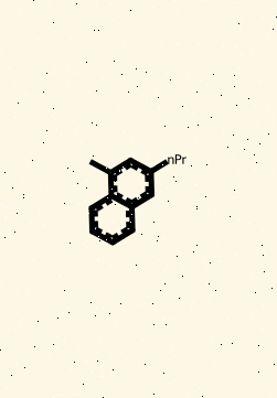 CCCc1cc(C)c2ccccc2c1